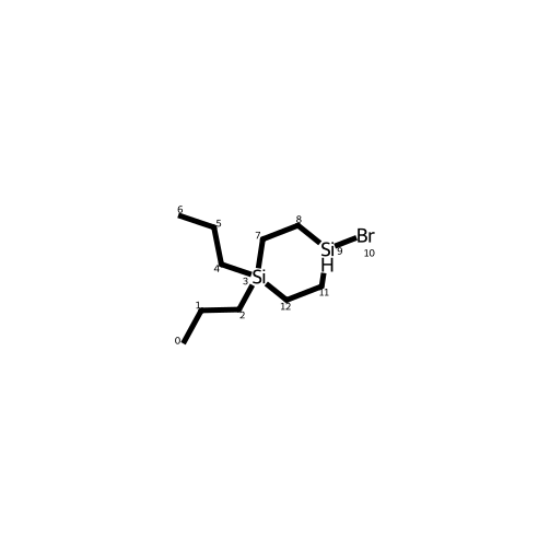 CCC[Si]1(CCC)CC[SiH](Br)CC1